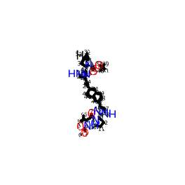 COC(=O)N[C@H](C(=O)N1[C@H](C)CC[C@H]1c1nc(-c2ccc3cc(C#Cc4c[nH]c([C@@H]5C[C@H]6CC6N5C(=O)OC(C)(C)C)n4)ccc3c2)c[nH]1)C(C)C